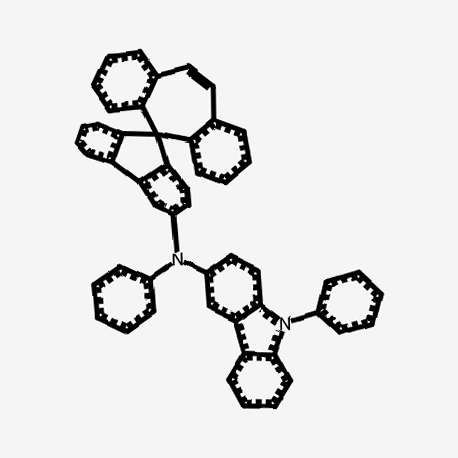 C1=Cc2ccccc2C2(c3ccccc31)c1ccccc1-c1cc(N(c3ccccc3)c3ccc4c(c3)c3ccccc3n4-c3ccccc3)ccc12